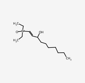 CCCCCCCC(O)/C=C/[N+]([O-])(CC)CC